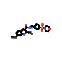 COc1ccc2cc(C(=O)NCc3ccc(S(=O)(=O)N4CCOCC4)cc3)c(C)nc2c1